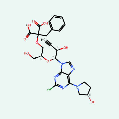 C#C[C@@H](O)[C@@H](O[C@@H](CO)COC(Cc1ccccc1)(C(=O)O)C(=O)O)n1cnc2c(N3CC[C@H](O)C3)nc(Cl)nc21